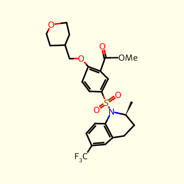 COC(=O)c1cc(S(=O)(=O)N2c3ccc(C(F)(F)F)cc3CC[C@@H]2C)ccc1OCC1CCOCC1